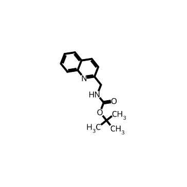 CC(C)(C)OC(=O)NCc1ccc2ccccc2n1